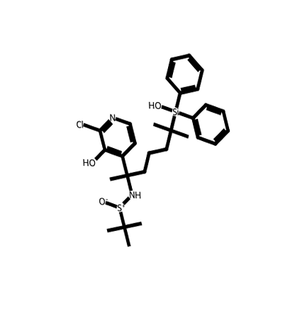 CC(CCCC(C)(C)[Si](O)(c1ccccc1)c1ccccc1)(N[S+]([O-])C(C)(C)C)c1ccnc(Cl)c1O